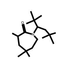 CC1CC(C)(C)CCN(C(CC(C)(C)C)C(C)(C)C)C1=O